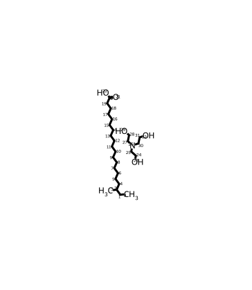 CCC(C)CCCCCCCCCCCCCCCCC(=O)O.OCCN(CCO)CCO